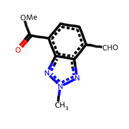 COC(=O)c1ccc(C=O)c2nn(C)nc12